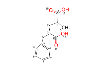 CC(CC(Cc1ccccc1)C(=O)O)C(=O)O